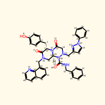 O=C1[C@H](Cc2ccc(O)cc2)N2C(=O)CN(Cc3ccn(-c4ccccc4)n3)N(C(=O)NCc3ccccc3)[C@H]2CN1Cc1cccc2cccnc12